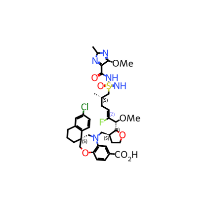 COC1=NC(C)N=C1C(=O)NS(=N)(=O)C[C@@H](C)C/C=C(\F)C(OC)[C@@H]1OCC[C@H]1CN1C[C@@]2(CCCc3cc(Cl)ccc32)COc2ccc(C(=O)O)cc21